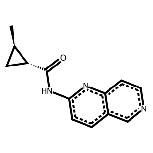 C[C@@H]1C[C@H]1C(=O)Nc1ccc2cnccc2n1